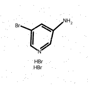 Br.Br.Nc1cncc(Br)c1